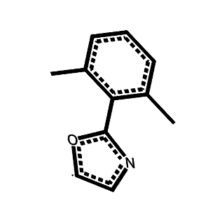 Cc1cccc(C)c1-c1nc[c]o1